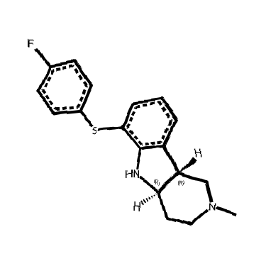 CN1CC[C@H]2Nc3c(Sc4ccc(F)cc4)cccc3[C@@H]2C1